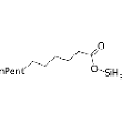 CCCCCCCCCCC(=O)O[SiH3]